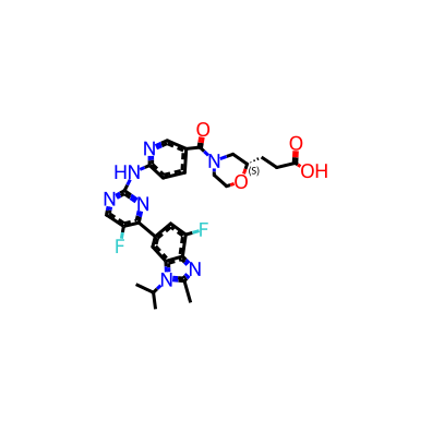 Cc1nc2c(F)cc(-c3nc(Nc4ccc(C(=O)N5CCO[C@@H](CCC(=O)O)C5)cn4)ncc3F)cc2n1C(C)C